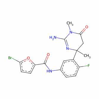 CN1C(=O)CC(C)(c2cc(NC(=O)c3ccc(Br)o3)ccc2F)N=C1N